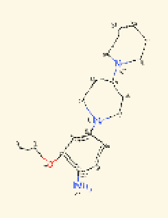 CCOc1cc(N2CCC(N3CCCCC3)CC2)ccc1N